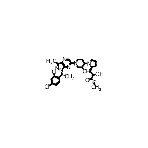 COC(=O)C(O)CC1CCCN1C1CCN(c2cnc3c(C)nn([C@H](C)c4ccc(Cl)cc4Cl)c3n2)CC1C